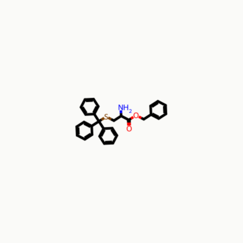 NC(CSC(c1ccccc1)(c1ccccc1)c1ccccc1)C(=O)OCc1ccccc1